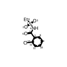 CCS(=O)(=O)NC(=O)c1ccccc1Cl